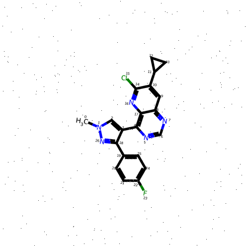 Cn1cc(-c2ncnc3cc(C4CC4)c(Cl)nc23)c(-c2ccc(F)cc2)n1